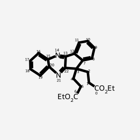 CCOC(=O)CCC1(CCC(=O)OCC)c2ccccc2-c2nc3ccccc3nc21